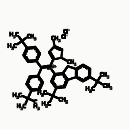 CC1=CC(C)[C]([Zr+2](=[C](c2ccc(C(C)(C)C)cc2)c2ccc(C(C)(C)C)cc2)[c]2cc(C(C)(C)C)cc3c2Cc2ccc(C(C)(C)C)cc2-3)=C1.[Cl-].[Cl-]